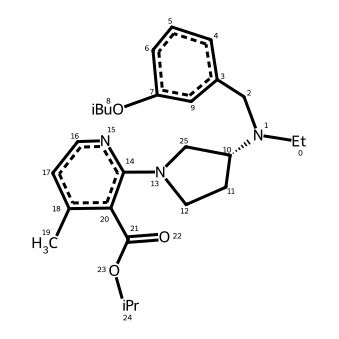 CCN(Cc1cccc(OCC(C)C)c1)[C@@H]1CCN(c2nccc(C)c2C(=O)OC(C)C)C1